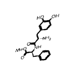 COC(=O)[C@H](Cc1ccccc1)NC(=O)[C@@H](N)Cc1ccc(O)c(O)c1